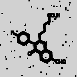 O=Cc1ccc2c(=O)n(-c3ccc(F)cc3)c(CCCCC(=O)O)nc2c1